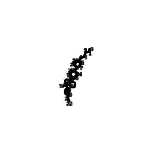 CCCCCc1ccc(-c2ccc(C(=O)OC(C)COCCC)cc2)cc1